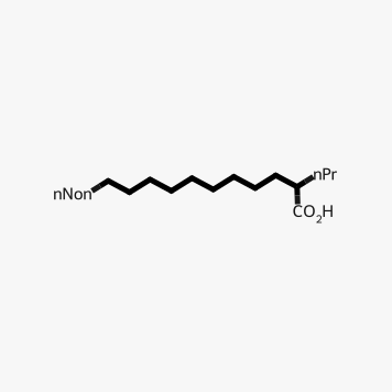 CCCCCCCCCCCCCCCCCCC(CCC)C(=O)O